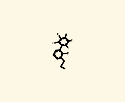 CCCc1cccc(-c2c(F)c(F)c(C)c(F)c2Cl)c1F